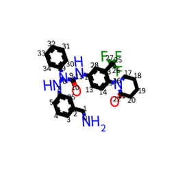 NCc1cccc(NN(C(=O)Nc2ccc(N3CCCCC3=O)c(C(F)(F)F)c2)c2ccccc2)c1